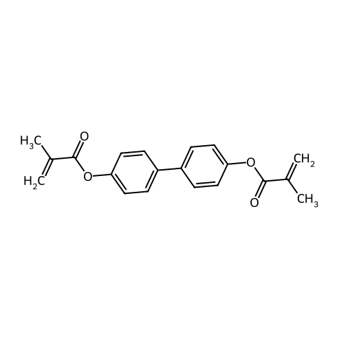 C=C(C)C(=O)Oc1ccc(-c2ccc(OC(=O)C(=C)C)cc2)cc1